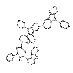 c1ccc(C2=NC(c3cccc4oc5ccc(-c6ccc7c(c6)c6cc(-c8ccc9c(c8)c8ccccc8n9-c8ccccc8)ccc6n7-c6ccccc6)cc5c34)NC(c3ccccc3)=N2)cc1